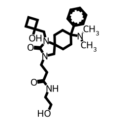 CN(C)C1(c2ccccc2)CCC2(CC1)CN(CCC(=O)NCCO)C(=O)N2CC1(O)CCC1